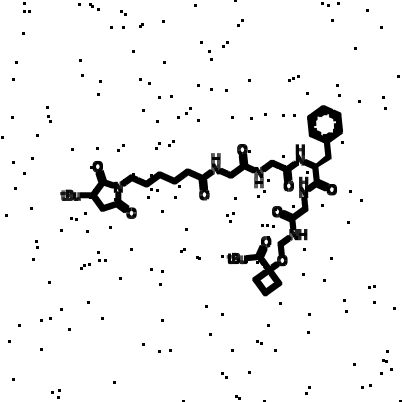 CC(C)(C)C(=O)C1(OCNC(=O)CNC(=O)[C@H](Cc2ccccc2)NC(=O)CNC(=O)CNC(=O)CCCCCN2C(=O)CC(C(C)(C)C)C2=O)CCC1